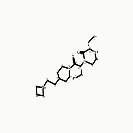 CC(C)C[C@@H]1NCCN([C@@H](CC(C)C)C(=O)N2CCC(CCN3CCC3)CC2)C1=O